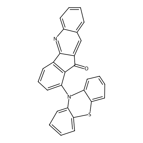 O=C1c2cc3ccccc3nc2-c2cccc(N3c4ccccc4Sc4ccccc43)c21